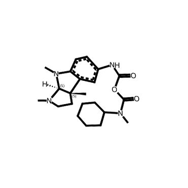 CN(C(=O)OC(=O)Nc1ccc2c(c1)[C@]1(C)CCN(C)[C@H]1N2C)C1CCCCC1